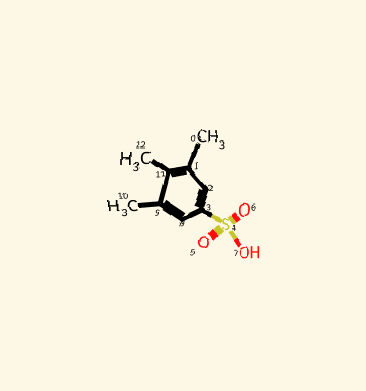 Cc1cc(S(=O)(=O)O)cc(C)c1C